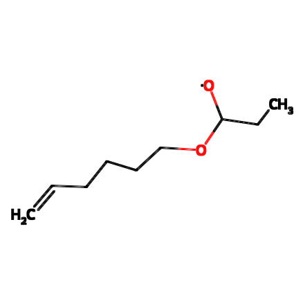 C=CCCCCOC([O])CC